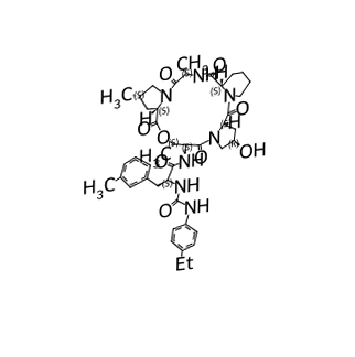 CCc1ccc(NC(=O)N[C@@H](Cc2cccc(C)c2)C(=O)N[C@@H]2C(=O)N3C[C@H](O)C[C@H]3C(=O)N3CCCC[C@H]3C(=O)N[C@@H](C)C(=O)N3C[C@@H](C)C[C@H]3C(=O)O[C@H]2C)cc1